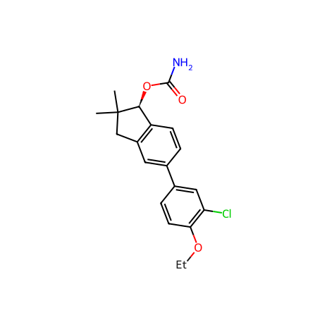 CCOc1ccc(-c2ccc3c(c2)CC(C)(C)[C@H]3OC(N)=O)cc1Cl